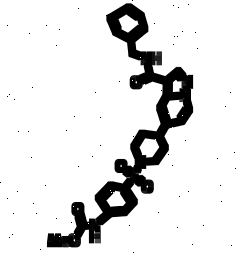 COC(=O)Nc1ccc(S(=O)(=O)N2CCC(c3ccn4ncc(C(=O)NCc5ccccc5)c4c3)CC2)cc1